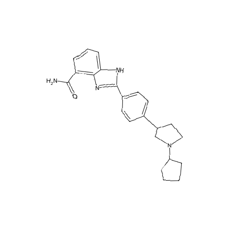 NC(=O)c1cccc2[nH]c(-c3ccc(C4CCN(C5CCCC5)C4)cc3)nc12